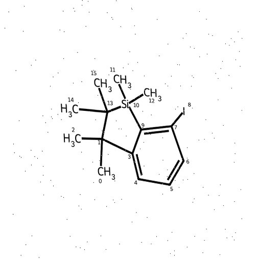 CC1(C)c2cccc(I)c2[Si](C)(C)C1(C)C